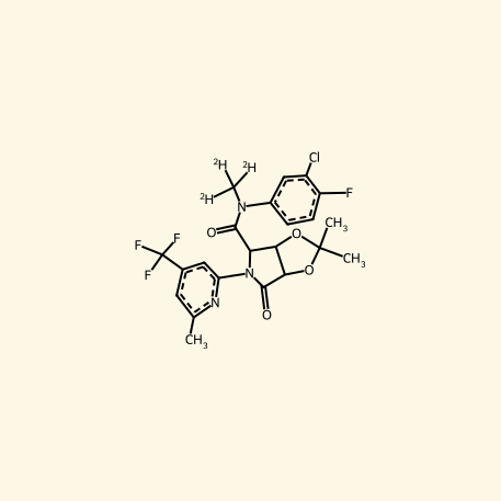 [2H]C([2H])([2H])N(C(=O)C1C2OC(C)(C)OC2C(=O)N1c1cc(C(F)(F)F)cc(C)n1)c1ccc(F)c(Cl)c1